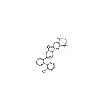 CC1(C)CCC(C)(C)c2cc3c(cc21)oc1cc(-c2ccccc2-c2ccccc2Cl)ccc13